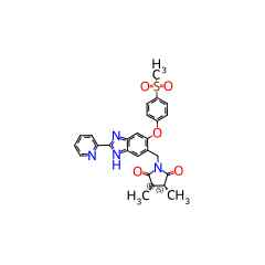 C[C@@H]1C(=O)N(Cc2cc3[nH]c(-c4ccccn4)nc3cc2Oc2ccc(S(C)(=O)=O)cc2)C(=O)[C@@H]1C